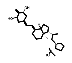 C=C1[C@H](O)CC(=C/C=C2\CCC[C@]3(C)[C@@H](C(C)CN4CCC[C@@H]4C(C)(C)O)CC[C@@H]23)C[C@H]1O